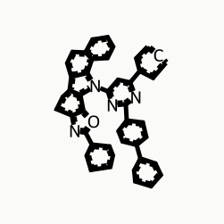 c1ccc(-c2ccc(-c3nc(-c4ccccc4)cc(-n4c5c6ccccc6ccc5c5ccc6nc(-c7ccccc7)oc6c54)n3)cc2)cc1